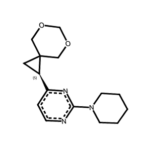 c1cc([C@H]2CC23COCOC3)nc(N2CCCCC2)n1